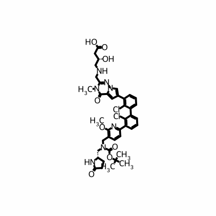 COc1nc(-c2cccc(-c3cccc(-c4cc5c(=O)n(C)c(CNC[C@@H](O)CC(=O)O)nn5c4)c3Cl)c2Cl)ccc1CN(C[C@@H]1CCC(=O)N1)C(=O)OC(C)(C)C